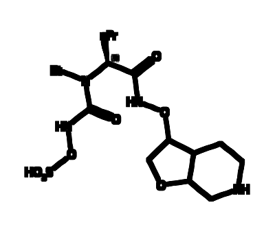 CCC[C@@H](C(=O)NOC1COC2CNCCC21)N(CC)C(=O)NOS(=O)(=O)O